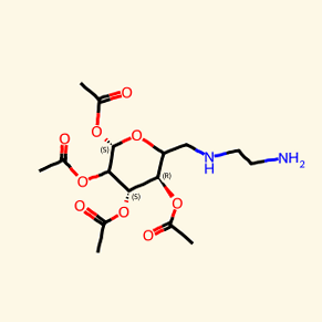 CC(=O)OC1[C@H](OC(C)=O)OC(CNCCN)[C@@H](OC(C)=O)[C@@H]1OC(C)=O